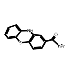 CCCC(=O)c1ccc2c(c1)Nc1ccccc1S2